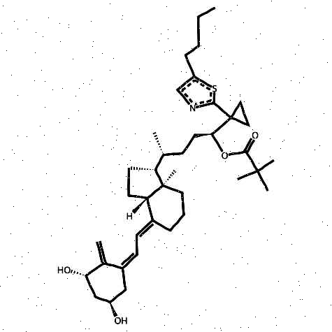 C=C1/C(=C\C=C2/CCC[C@]3(C)[C@@H]([C@H](C)CC[C@H](OC(=O)C(C)(C)C)C4(c5ncc(CCCC)s5)CC4)CC[C@@H]23)C[C@@H](O)C[C@@H]1O